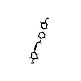 CCOc1ccc([C@H]2CC[C@H](/C=C/C#Cc3ccc(CC)cc3)CC2)cc1